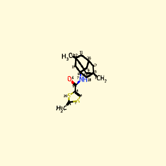 C=C1SC=C(C(=O)NC23CC4CC(C)(CC(C)(C4)C2)C3)S1